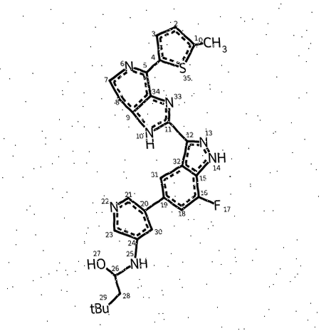 Cc1ccc(-c2nccc3[nH]c(-c4n[nH]c5c(F)cc(-c6cncc(NC(O)CC(C)(C)C)c6)cc45)nc23)s1